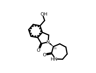 O=C1NCCCC[C@@H]1N1Cc2c(CO)cccc2C1=O